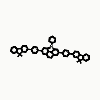 CC1(C)c2ccccc2-c2ccc(-c3ccc(-c4cc5ccc6cc(-c7ccc(-c8ccc9c(c8)C(C)(C)c8ccccc8-9)cc7)cc7c6c5c(c4)n7-c4ccccc4)cc3)cc21